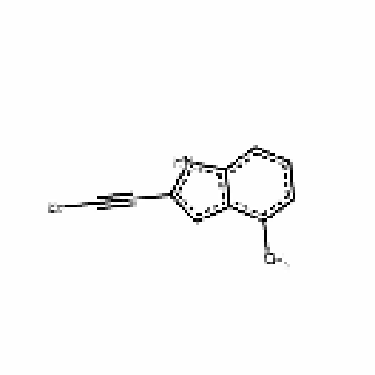 CCC#Cc1cc2c(C)cccc2[nH]1